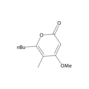 CCCCc1oc(=O)cc(OC)c1C